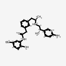 C[C@H](Cc1cccc(CC(=O)Nc2cc(C(C)(C)C)ccc2O)c1)NC[C@@H](O)c1ccc(N)nc1